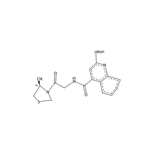 CCCCCCCCCc1cc(C(=O)NCC(=O)N2CSC[C@H]2C#N)c2ccccc2n1